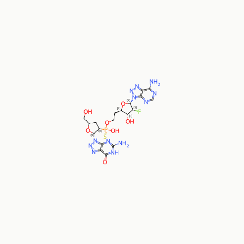 Nc1nc2c(nnn2[C@@H]2OC(CO)C[C@H]2P(O)(=S)OCC[C@H]2O[C@@H](n3nnc4c(N)ncnc43)[C@@H](F)[C@@H]2O)c(=O)[nH]1